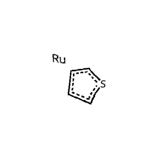 [Ru].c1ccsc1